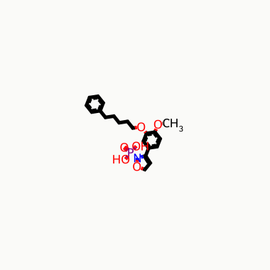 COc1ccc(C2=CCON2P(=O)(O)O)cc1OCCCCCc1ccccc1